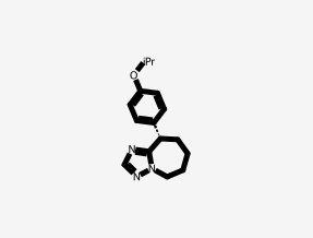 CC(C)Oc1ccc([C@@H]2CCCCn3ncnc32)cc1